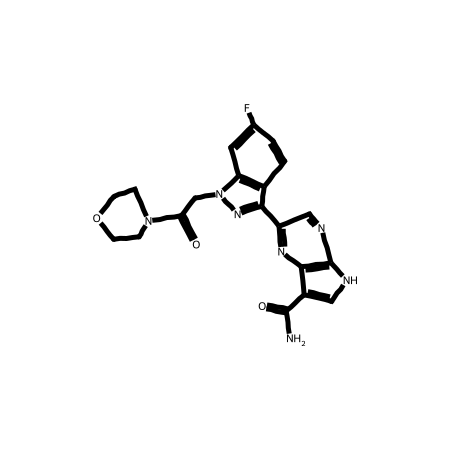 NC(=O)c1c[nH]c2ncc(-c3nn(CC(=O)N4CCOCC4)c4cc(F)ccc34)nc12